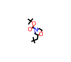 CC(C)(C)CC1CN(C(=O)OC(C)(C)C)CCO1